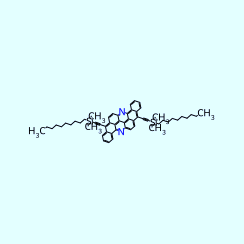 CCCCCCCCCC[Si](C)(C)C#Cc1c2ccccc2c2nc3ccc4c(C#C[Si](C)(C)CCCCCCCCCC)c5ccccc5c5nc6ccc1c2c6c3c45